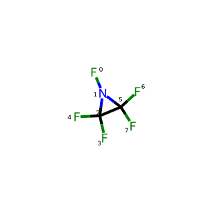 FN1C(F)(F)C1(F)F